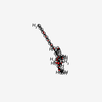 CCCCc1nc2c(NC(=O)OCc3ccc(O[C@H]4O[C@H](CO)[C@@H](O)[C@H](O)[C@@H]4O)cc3)nc3cc(C(=O)O)ccc3c2n1Cc1ccc(C[N+](C)(C)Cc2ccc(O[C@H]3O[C@H](CO)[C@@H](O)[C@H](O)[C@@H]3O)c(NC(=O)CCNC(=O)[C@H](CCCCNC(=O)CCOCCOCCOCCOCCOCCOCCOCCOCCOCCOCCOCCOC)NC(=O)CCN3C(=O)C=CC3=O)c2)cc1